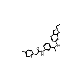 CCn1cc2ncc(NC(C)c3cccc(NC(=O)Cc4ccc(C)cn4)c3)nc2n1